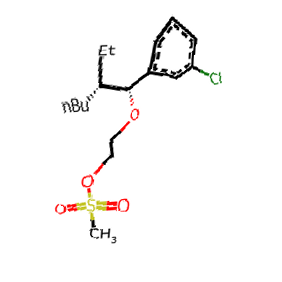 CCCC[C@H](CC)[C@@H](OCCOS(C)(=O)=O)c1cccc(Cl)c1